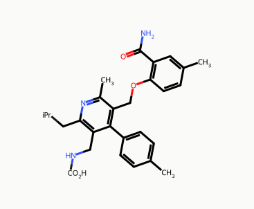 Cc1ccc(-c2c(COc3ccc(C)cc3C(N)=O)c(C)nc(CC(C)C)c2CNC(=O)O)cc1